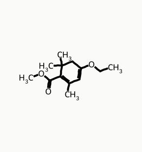 CCOC1=CC(C)=C(C(=O)OC)C(C)(C)C1